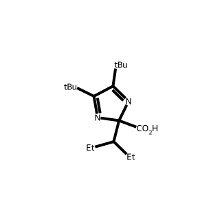 CCC(CC)C1(C(=O)O)N=C(C(C)(C)C)C(C(C)(C)C)=N1